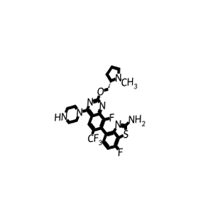 CN1CCC[C@H]1COc1nc(N2CCNCC2)c2cc(C(F)(F)F)c(-c3ccc(F)c4sc(N)nc34)c(F)c2n1